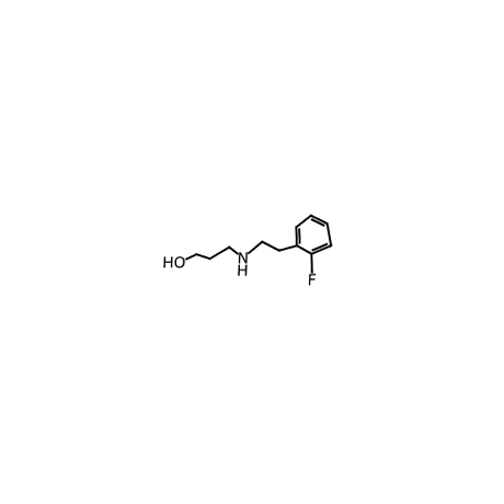 OCCCNCCc1ccccc1F